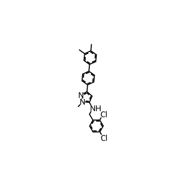 Cc1ccc(-c2ccc(-c3cc(NCc4ccc(Cl)cc4Cl)n(C)n3)cc2)cc1C